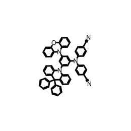 N#Cc1ccc(N(c2ccc(C#N)cc2)c2cc(N3c4ccccc4Oc4ccccc43)cc(N3c4ccccc4C(c4ccccc4)(c4ccccc4)c4ccccc43)c2)cc1